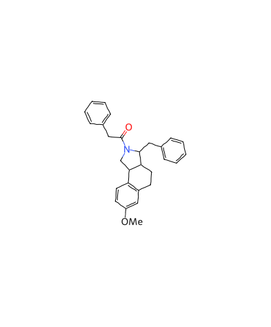 COc1ccc2c(c1)CCC1C2CN(C(=O)Cc2ccccc2)C1Cc1ccccc1